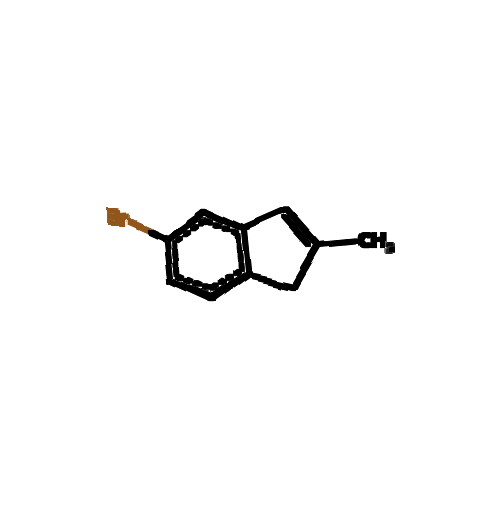 CC1=Cc2cc(Br)ccc2C1